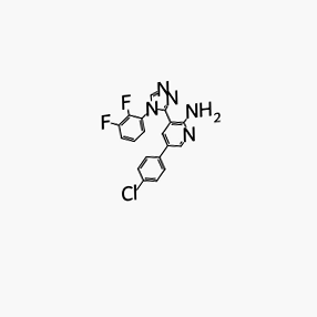 Nc1ncc(-c2ccc(Cl)cc2)cc1-c1nncn1-c1cccc(F)c1F